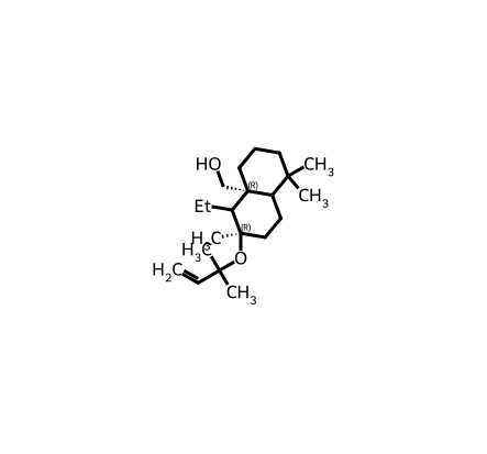 C=CC(C)(C)O[C@]1(C)CCC2C(C)(C)CCC[C@]2(CO)C1CC